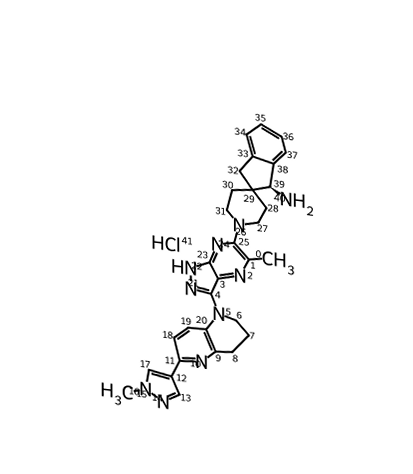 Cc1nc2c(N3CCCc4nc(-c5cnn(C)c5)ccc43)n[nH]c2nc1N1CCC2(CC1)Cc1ccccc1[C@H]2N.Cl